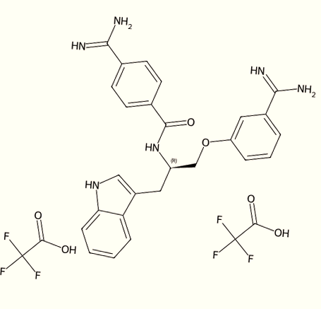 N=C(N)c1ccc(C(=O)N[C@@H](COc2cccc(C(=N)N)c2)Cc2c[nH]c3ccccc23)cc1.O=C(O)C(F)(F)F.O=C(O)C(F)(F)F